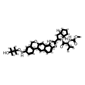 COC(=O)N[C@H](C(=O)N1C(c2nc3ccc4cc5c(cc4c3[nH]2)OCc2cc(BOC(C)(C)C(C)(C)O)ccc2-5)C[C@@H]2CCC[C@@H]21)C(C)C